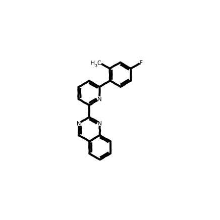 Cc1cc(F)ccc1-c1cccc(-c2ncc3ccccc3n2)n1